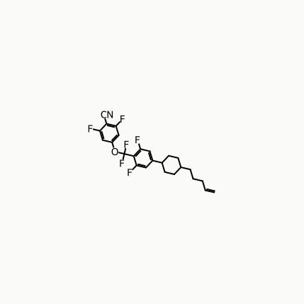 C=CCCCC1CCC(c2cc(F)c(C(F)(F)Oc3cc(F)c(C#N)c(F)c3)c(F)c2)CC1